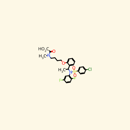 CC(c1ccccc1OCCCCN(C)C(=O)C(=O)O)N(c1cc(F)ccc1F)S(=O)(=O)c1ccc(Cl)cc1